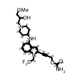 COCC(O)CN1CCC(Nc2cccc3c2cc(C#CCOC(N)=O)n3CC(F)(F)F)CC1